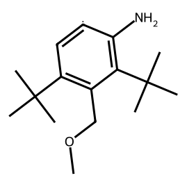 COCc1c(C(C)(C)C)c[c]c(N)c1C(C)(C)C